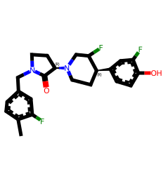 Cc1ccc(CN2CC[C@@H](N3CC[C@H](c4ccc(O)c(F)c4)C(F)C3)C2=O)cc1F